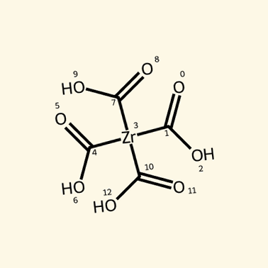 O=[C](O)[Zr]([C](=O)O)([C](=O)O)[C](=O)O